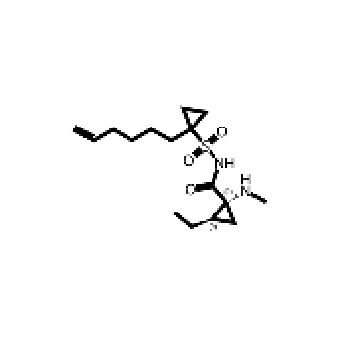 C=CCCCCC1(S(=O)(=O)NC(=O)[C@@]2(NC)C[C@H]2CC)CC1